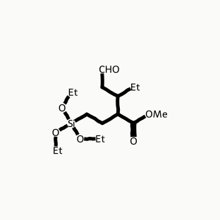 CCO[Si](CCC(C(=O)OC)C(CC)CC=O)(OCC)OCC